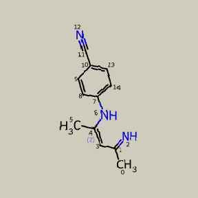 CC(=N)/C=C(/C)Nc1ccc(C#N)cc1